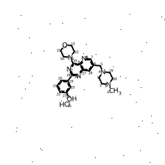 CN1CCN(Cc2cnc3c(N4CCOCC4)nc(-c4cccc(O)c4)nc3c2)CC1.Cl